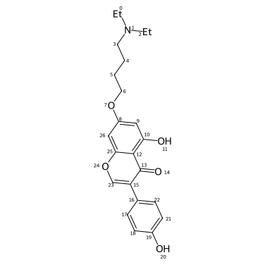 CCN(CC)CCCCOc1cc(O)c2c(=O)c(-c3ccc(O)cc3)coc2c1